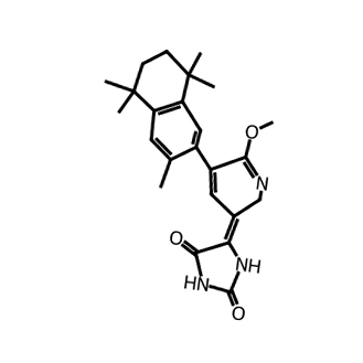 COC1=NCC(=C2NC(=O)NC2=O)C=C1c1cc2c(cc1C)C(C)(C)CCC2(C)C